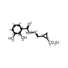 CCOC(=O)C1CC1C=NNC(=O)c1cccc(O)c1O